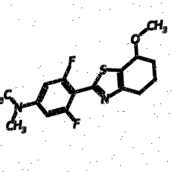 COC1CCCc2nc(-c3c(F)cc(N(C)C)cc3F)sc21